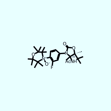 CC(=O)NC(C)(C)[C@]1(C)OC(=O)N(c2ccc([N+]3([O-])C(C)(C)C(C)(C)OC(C)(C)C3(C)C)c(F)c2)C1(C)C